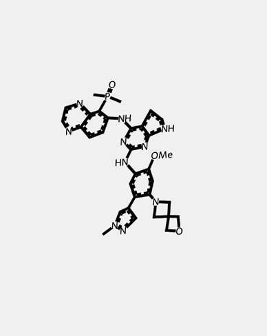 COc1cc(N2CC3(COC3)C2)c(-c2cnn(C)c2)cc1Nc1nc(Nc2ccc3nccnc3c2P(C)(C)=O)c2cc[nH]c2n1